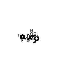 CCC1CCCN2CC1n1cc(C(=O)NCc3ccc(F)cc3F)c(=O)c(O)c1C2=O